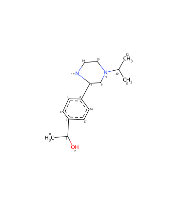 CC(O)c1ccc(C2CN(C(C)C)CC[N]2)cc1